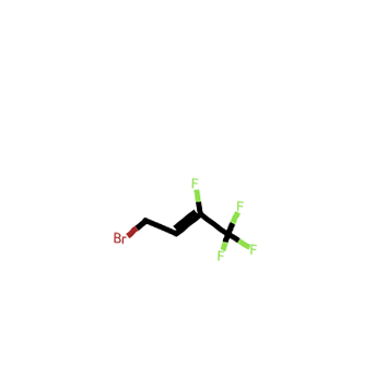 FC(=CCBr)C(F)(F)F